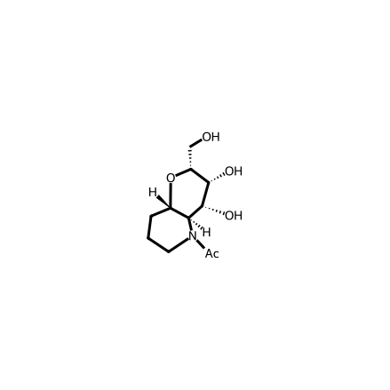 CC(=O)N1CCC[C@@H]2O[C@H](CO)[C@H](O)[C@H](O)[C@H]21